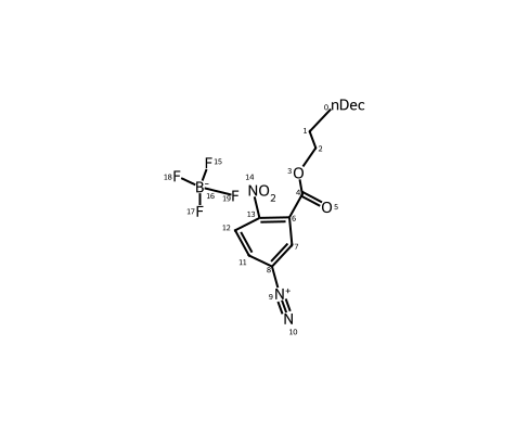 CCCCCCCCCCCCOC(=O)c1cc([N+]#N)ccc1[N+](=O)[O-].F[B-](F)(F)F